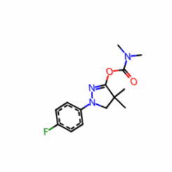 CN(C)C(=O)OC1=NN(c2ccc(F)cc2)CC1(C)C